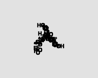 CCOC(=O)c1cc(NC(=O)N(C(=O)[C@@H](N)Cc2ccc(O)cc2)[C@H]2CCC[N+](C)(Cc3cccc(O)c3)C2)cn1C.O=C([O-])C(F)(F)F